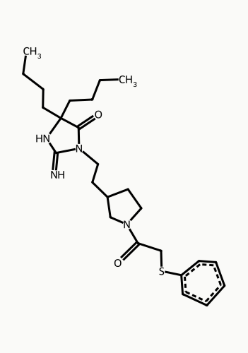 CCCCC1(CCCC)NC(=N)N(CCC2CCN(C(=O)CSc3ccccc3)C2)C1=O